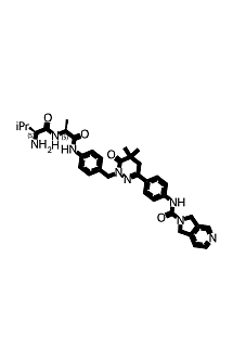 CC(C)[C@H](N)C(=O)N[C@@H](C)C(=O)Nc1ccc(CN2N=C(c3ccc(NC(=O)N4Cc5ccncc5C4)cc3)CC(C)(C)C2=O)cc1